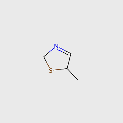 CC1C=NCS1